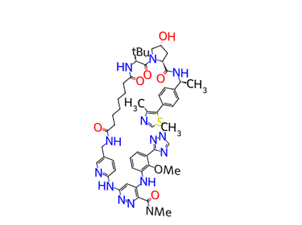 CNC(=O)c1nnc(Nc2ccc(CNC(=O)CCCCCCC(=O)N[C@H](C(=O)N3C[C@H](O)C[C@H]3C(=O)N[C@@H](C)c3ccc(-c4scnc4C)cc3)C(C)(C)C)cn2)cc1Nc1cccc(-c2ncn(C)n2)c1OC